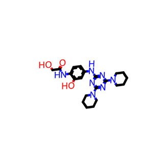 O=C(CO)Nc1ccc(Nc2nc(N3CCCCC3)nc(N3CCCCC3)n2)cc1O